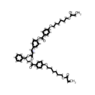 C=CC(=O)OCCCCCCOc1ccc(C(=O)OC[C@H](OC(=O)/C=C/c2ccc(OC(=O)c3ccc(OCCCCCCOC(=O)C=C)cc3)cc2)c2ccccc2)cc1